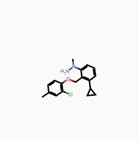 Cc1ccc(OCc2c(C3CC3)cccc2N(C)N)c(Cl)c1